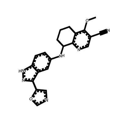 COc1c(C#N)cnc2c1CCCC2Nc1ccc2[nH]nc(-c3cnco3)c2c1